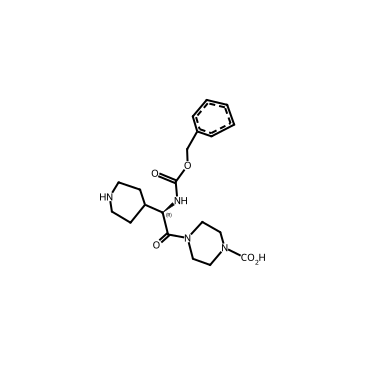 O=C(N[C@@H](C(=O)N1CCN(C(=O)O)CC1)C1CCNCC1)OCc1ccccc1